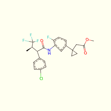 COC(=O)CC1(c2ccc(F)c(NC(=O)C(c3ccc(Cl)cc3)[C@@H](C)C(F)(F)F)c2)CC1